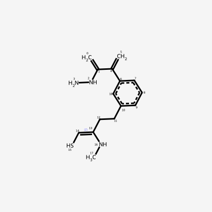 C=C(NN)C(=C)c1cccc(CC/C(=C/S)NC)c1